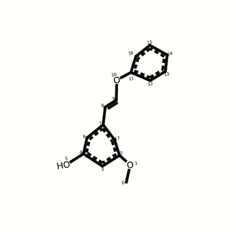 COc1cc(O)cc(C=COc2ccccc2)c1